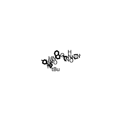 Cc1ccc(-n2nc(C(C)(C)C)cc2NC(=O)Nc2ccc(Oc3ccnc(NC(=O)N4CCN(C)CC4)c3)c3ccccc23)cc1